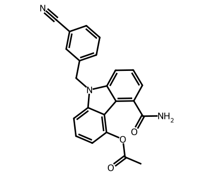 CC(=O)Oc1cccc2c1c1c(C(N)=O)cccc1n2Cc1cccc(C#N)c1